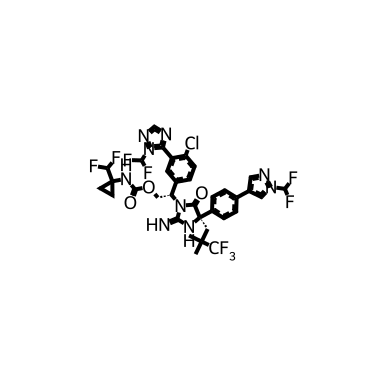 CC(C)(C[C@]1(c2ccc(-c3cnn(C(F)F)c3)cc2)NC(=N)N([C@H](COC(=O)NC2(C(F)F)CC2)c2ccc(Cl)c(-c3ncnn3C(F)F)c2)C1=O)C(F)(F)F